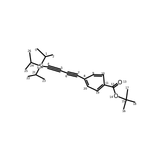 CC(C)[Si](C#CC#Cc1ccc(C(=O)OC(C)(C)C)cc1)(C(C)C)C(C)C